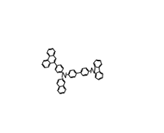 c1ccc2cc(N(c3ccc(-c4ccc(-n5c6ccccc6c6ccccc65)cc4)cc3)c3ccc(-c4cc5ccccc5c5ccccc45)cc3)ccc2c1